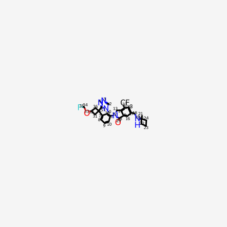 Cn1cnnc1C1(c2cccc(N3Cc4c(cc(CNC5(C)CCC5)cc4C(F)(F)F)C3=O)c2)CC(OCF)C1